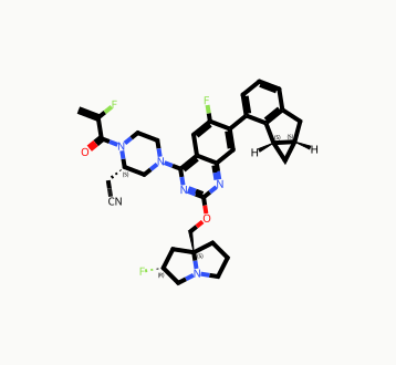 C=C(F)C(=O)N1CCN(c2nc(OC[C@@]34CCCN3C[C@H](F)C4)nc3cc(-c4cccc5c4[C@H]4C[C@H]4C5)c(F)cc23)C[C@@H]1CC#N